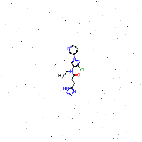 CCN(C(=O)CCc1nnn[nH]1)c1cn(-c2cccnc2)nc1Cl